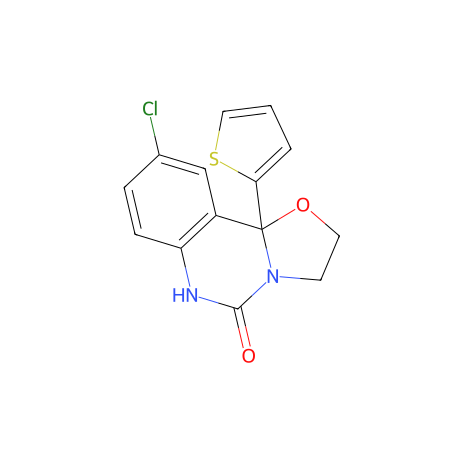 O=C1Nc2ccc(Cl)cc2C2(c3cccs3)OCCN12